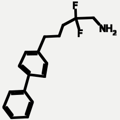 NCC(F)(F)CCCc1ccc(-c2ccccc2)cc1